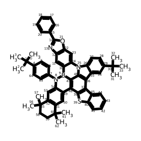 CC(C)(C)c1ccc(N2B3c4cc5nc(-c6ccccc6)oc5cc4-n4c5ccc(C(C)(C)C)cc5c5c6c(sc7ccccc76)c(c3c54)-c3cc4c(cc32)C(C)(C)CCC4(C)C)cc1